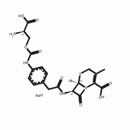 CC1=C(C(=O)O)N2C(=O)[C@@H](NC(=O)Cc3ccc(NC(=O)OC[C@@H](N)C(=O)O)cc3)[C@H]2SC1.[NaH]